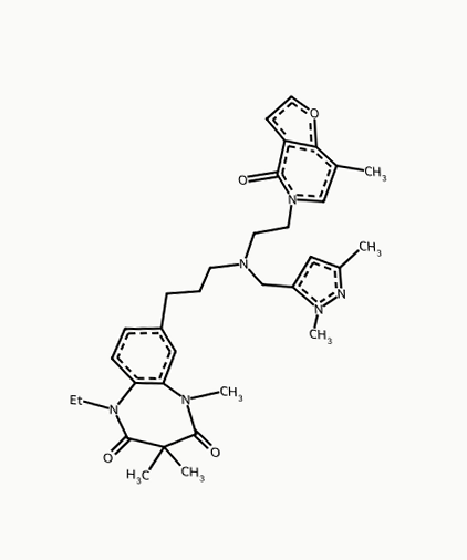 CCN1C(=O)C(C)(C)C(=O)N(C)c2cc(CCCN(CCn3cc(C)c4occc4c3=O)Cc3cc(C)nn3C)ccc21